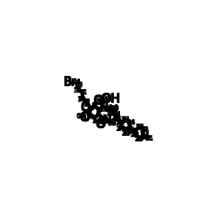 COc1cc2c(cc1OCCCCCBr)N(C(=O)O)C[C@@H]1CC(c3ccc(C4CCN(C)CC4)cc3)=CN1C2=O